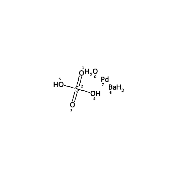 O.O=S(=O)(O)O.[BaH2].[Pd]